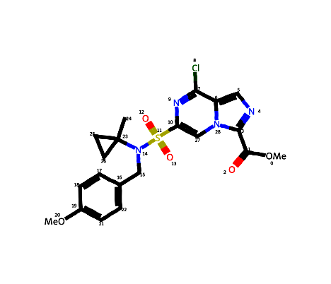 COC(=O)c1ncc2c(Cl)nc(S(=O)(=O)N(Cc3ccc(OC)cc3)C3(C)CC3)cn12